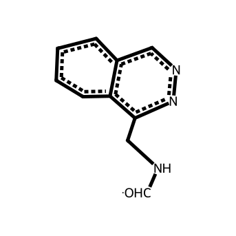 O=[C]NCc1nncc2ccccc12